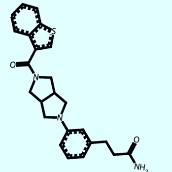 NC(=O)CCc1cccc(N2CC3CN(C(=O)c4csc5ccccc45)CC3C2)c1